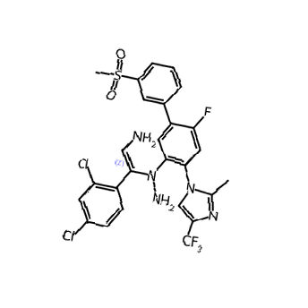 Cc1nc(C(F)(F)F)cn1-c1cc(F)c(-c2cccc(S(C)(=O)=O)c2)cc1N(N)/C(=C\N)c1ccc(Cl)cc1Cl